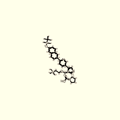 CC(C)(C)[Si](C)(C)Oc1ccc2cc(-c3ccc(-c4cnc([C@@H]5CCCN5C(=O)O)n4COCC[Si](C)(C)C)cn3)ccc2c1